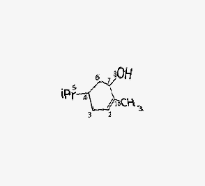 CC1=CCC(C(C)C)CC1O